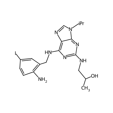 CC(O)CNc1nc(NCc2cc(I)ccc2N)c2ncn(C(C)C)c2n1